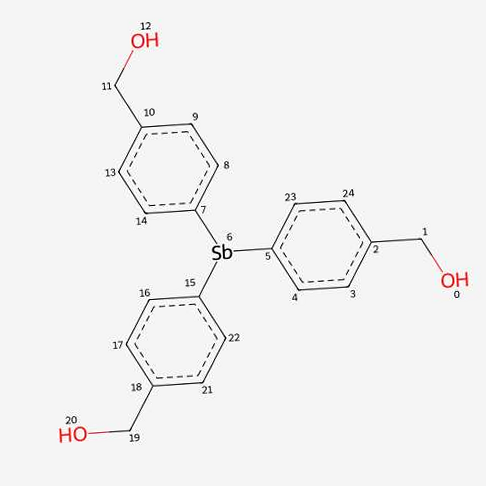 OCc1cc[c]([Sb]([c]2ccc(CO)cc2)[c]2ccc(CO)cc2)cc1